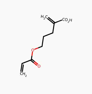 C=CC(=O)OCCCC(=C)C(=O)O